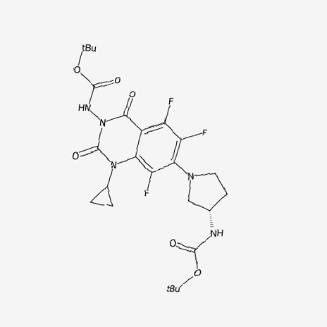 CC(C)(C)OC(=O)N[C@H]1CCN(c2c(F)c(F)c3c(=O)n(NC(=O)OC(C)(C)C)c(=O)n(C4CC4)c3c2F)C1